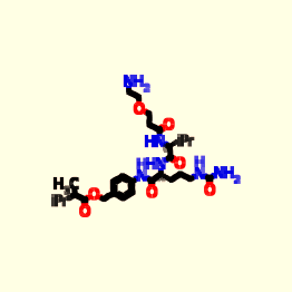 CC(C)C(C)C(=O)OCc1ccc(NC(=O)[C@H](CCCNC(N)=O)NC(=O)[C@@H](NC(=O)CCOCCN)C(C)C)cc1